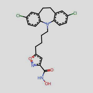 O=C(NO)c1cc(CCCCN2c3ccc(Cl)cc3CCc3cc(Cl)ccc32)on1